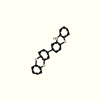 c1ccc2c(c1)Nc1cc(-c3ccc4c(c3)Oc3ccccc3O4)ccc1S2